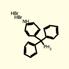 Br.Br.N.PC(c1ccccc1)(c1ccccc1)c1ccccc1